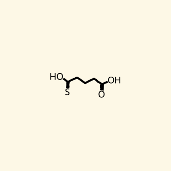 O=C(O)CCCC(O)=S